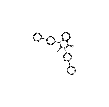 O=c1c2ccccc2n(-c2ccc(-c3ccccc3)cc2)c(=O)n1-c1ccc(-c2ccccc2)cc1